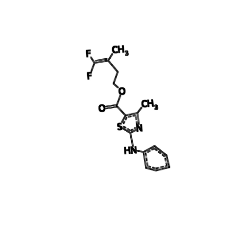 CC(CCOC(=O)c1sc(Nc2ccccc2)nc1C)=C(F)F